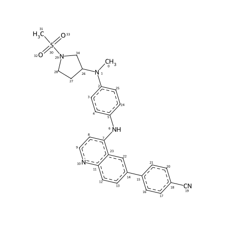 CN(c1ccc(Nc2ccnc3ccc(-c4ccc(C#N)cc4)cc23)cc1)C1CCN(S(C)(=O)=O)C1